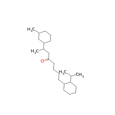 CC1CCCC(C(C)CC(=O)CCCCC2CCCCC2C(C)C)C1